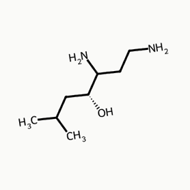 CC(C)C[C@@H](O)C(N)CCN